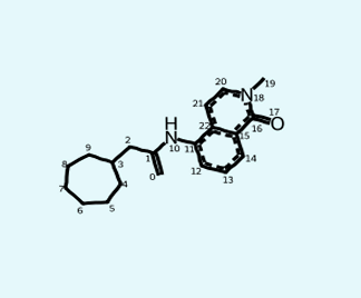 C=C(CC1CCCCCC1)Nc1cccc2c(=O)n(C)ccc12